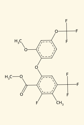 COC(=O)c1c(Oc2ccc(OC(F)(F)F)cc2OC)cc(C(F)(F)F)c(C)c1F